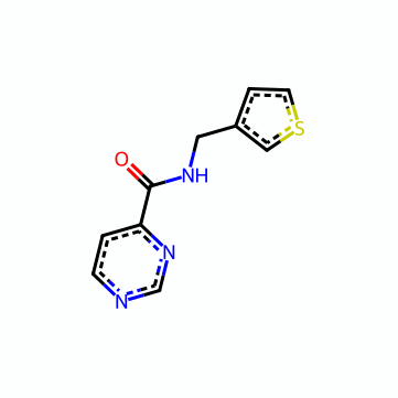 O=C(NCc1ccsc1)c1ccncn1